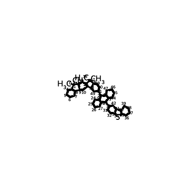 CC1(C)c2ccccc2-c2cc3c(cc21)C(C)(C)c1ccc(-c2c4ccccc4c(-c4ccc5sc6ccccc6c5c4)c4ccccc24)cc1-3